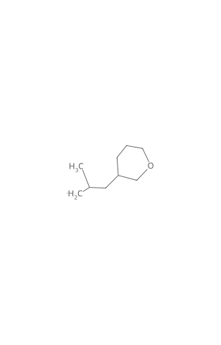 [CH2]C(C)CC1CCCOC1